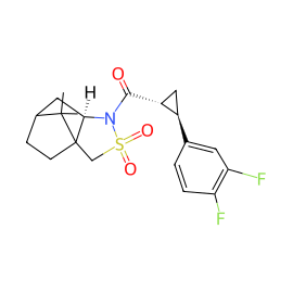 CC1(C)C2CCC13CS(=O)(=O)N(C(=O)[C@@H]1C[C@H]1c1ccc(F)c(F)c1)[C@@H]3C2